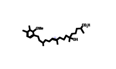 COC1C(CCC(C)CC/C=C(\C)CCCC(C)(O)CCCC(C)C(=O)O)=CC=C(C)C1C